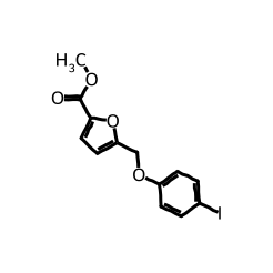 COC(=O)c1ccc(COc2ccc(I)cc2)o1